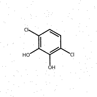 Oc1c(Cl)ccc(Cl)c1O